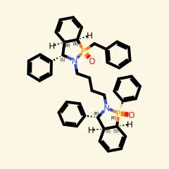 O=P1(Cc2ccccc2)[C@@H]2C=CC=C[C@@H]2[C@@H](c2ccccc2)N1CCCCN1[C@@H](c2ccccc2)[C@@H]2C=CC=C[C@@H]2[P@@]1(=O)c1ccccc1